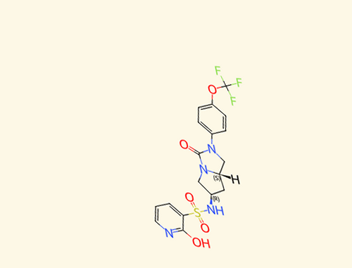 O=C1N(c2ccc(OC(F)(F)F)cc2)C[C@@H]2C[C@@H](NS(=O)(=O)c3cccnc3O)CN12